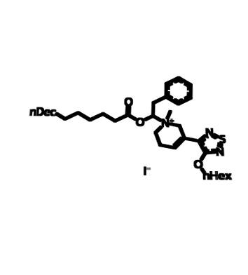 CCCCCCCCCCCCCCCC(=O)OC(Cc1ccccc1)[N+]1(C)CCC=C(c2nsnc2OCCCCCC)C1.[I-]